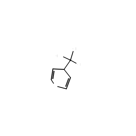 CC(C)(C)C1C=COC=C1